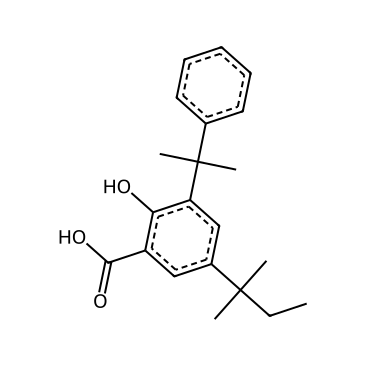 CCC(C)(C)c1cc(C(=O)O)c(O)c(C(C)(C)c2ccccc2)c1